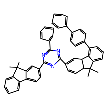 CC1(C)c2ccccc2-c2ccc(-c3nc(C4=CC5c6c(-c7ccc(-c8ccccc8)cc7)cccc6C(C)(C)C5C=C4)nc(-c4ccccc4)n3)cc21